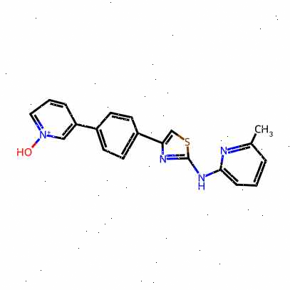 Cc1cccc(Nc2nc(-c3ccc(-c4ccc[n+](O)c4)cc3)cs2)n1